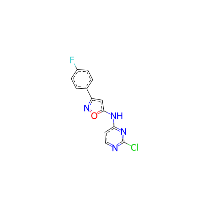 Fc1ccc(-c2cc(Nc3ccnc(Cl)n3)on2)cc1